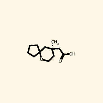 C[C@]1(CC(=O)O)CCOC2(CCCC2)C1